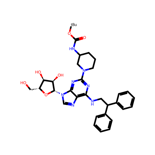 CC(C)(C)OC(=O)NC1CCCN(c2nc(NCC(c3ccccc3)c3ccccc3)c3ncn([C@@H]4O[C@H](CO)[C@@H](O)[C@H]4O)c3n2)C1